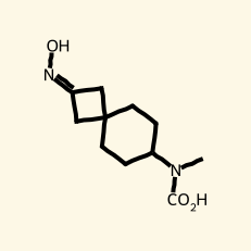 CN(C(=O)O)C1CCC2(CC1)CC(=NO)C2